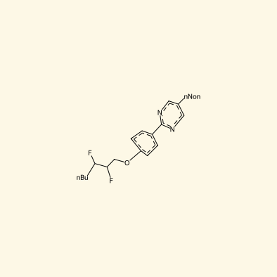 CCCCCCCCCc1cnc(-c2ccc(OCC(F)C(F)CCCC)cc2)nc1